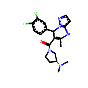 CC1=C(C(=O)N2CC[C@@H](N(C)C)C2)C(c2ccc(Cl)c(Cl)c2)n2nccc2N1